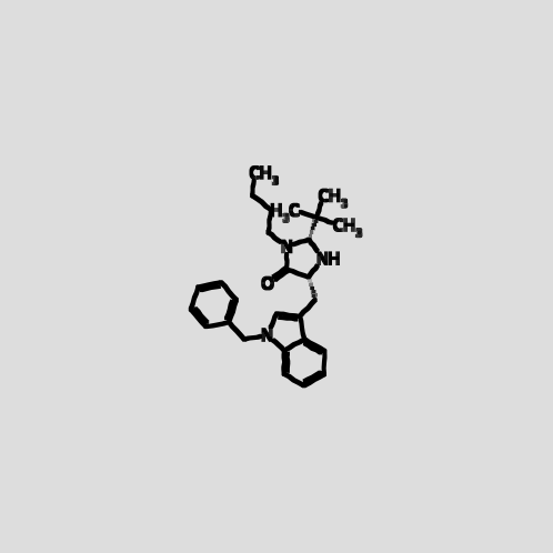 CCCCN1C(=O)[C@@H](Cc2cn(Cc3ccccc3)c3ccccc23)N[C@H]1C(C)(C)C